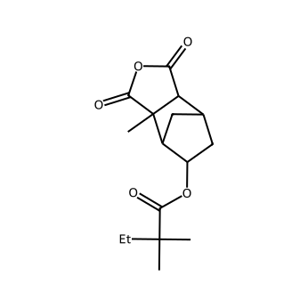 CCC(C)(C)C(=O)OC1CC2CC1C1(C)C(=O)OC(=O)C21